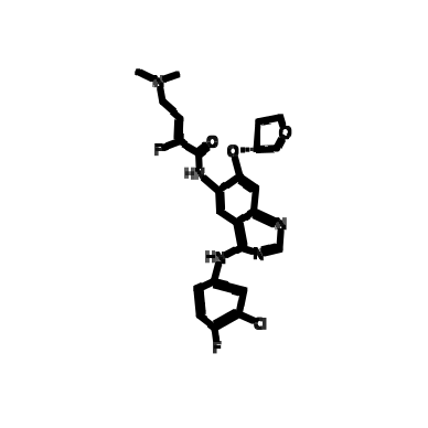 CN(C)C/C=C(\F)C(=O)Nc1cc2c(Nc3ccc(F)c(Cl)c3)ncnc2cc1O[C@@H]1CCOC1